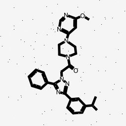 COc1cc(N2CCN(C(=O)Cn3nc(-c4cccc(C(C)C)c4)nc3-c3ccccc3)CC2)ncn1